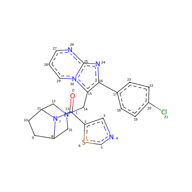 O=C(c1cncs1)N1C2CCC1CN(Cc1c(-c3ccc(Cl)cc3)nc3ncccn13)C2